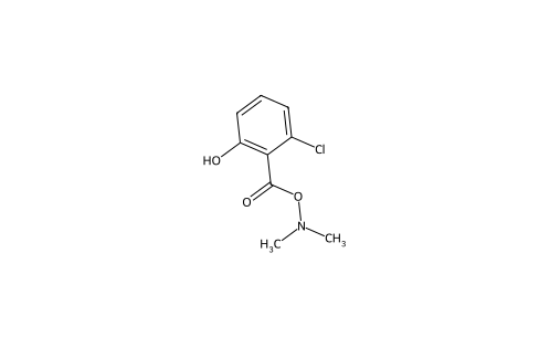 CN(C)OC(=O)c1c(O)cccc1Cl